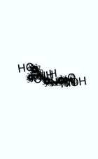 O=C(NO)c1cc2ccc(CNCc3ccc(CN[C@@H](Cc4ccc(O)cc4)C(=O)OC4CCCC4)cc3)cc2s1